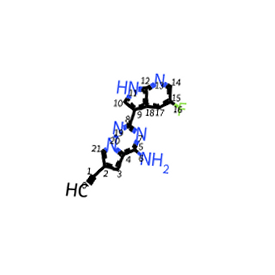 C#Cc1cc2c(N)nc(-c3c[nH]c4ncc(F)cc34)nn2c1